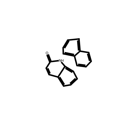 O=c1ccc2ccccc2[nH]1.c1ccc2ccccc2c1